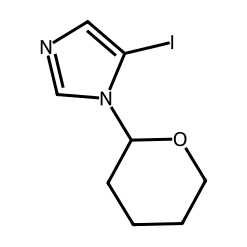 Ic1cncn1C1CCCCO1